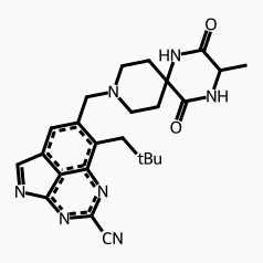 CC1NC(=O)C2(CCN(Cc3cc4c5c(nc(C#N)nc5c3CC(C)(C)C)N=C4)CC2)NC1=O